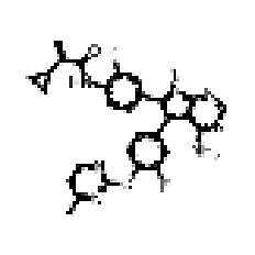 C=C(C(=O)Nc1ccc(-c2c(-c3ccc(Oc4nccc(C)n4)c(F)c3)c3c(N)ncnc3n2C)cc1Cl)C1CC1